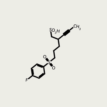 CC#CC(CCCS(=O)(=O)c1ccc(F)cc1)CS(=O)(=O)O